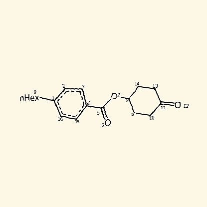 CCCCCCc1ccc(C(=O)OC2CCC(=O)CC2)cc1